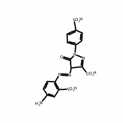 Nc1ccc(N=NC2C(=O)N(c3ccc(S(=O)(=O)O)cc3)N=C2C(=O)O)c(S(=O)(=O)O)c1